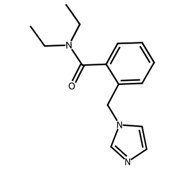 CCN(CC)C(=O)c1ccccc1Cn1ccnc1